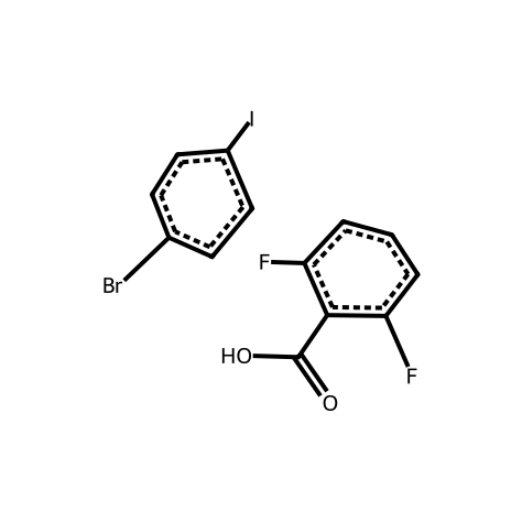 Brc1ccc(I)cc1.O=C(O)c1c(F)cccc1F